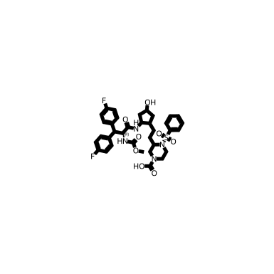 COC(=O)N[C@@H](C(=O)NC1CC(O)CC1CCC1CN(C(=O)O)CCN1S(=O)(=O)c1ccccc1)C(c1ccc(F)cc1)c1ccc(F)cc1